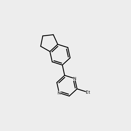 CCc1cncc(-c2ccc3c(c2)CCC3)n1